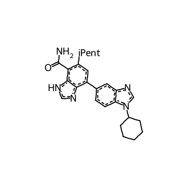 CCCC(C)c1cc(-c2ccc3c(c2)ncn3C2CCCCC2)c2nc[nH]c2c1C(N)=O